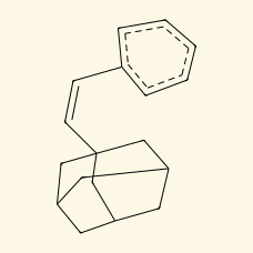 C(=C/C12CC3CC(CC(C3)C1)C2)/c1ccccc1